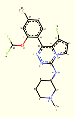 CC(C)N1CCC[C@@H](Nc2nnc(-c3ccc(C(F)(F)F)cc3OC(F)F)c3c(F)ccn23)C1